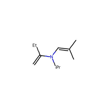 C=C(CC)N(C=C(C)C)C(C)C